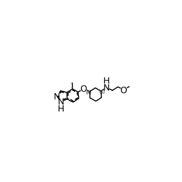 COCCN[C@H]1CCC[C@@H](Oc2ccc3[nH]ncc3c2C)C1